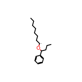 CCCCCCC[CH]OC(CCC)c1ccccc1